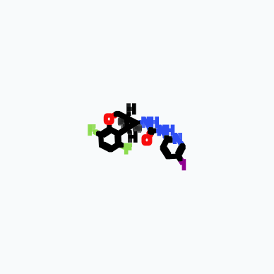 O=C(Nc1ccc(I)cn1)N[C@@H]1[C@@H]2COc3c(F)ccc(F)c3[C@@H]21